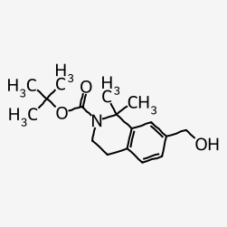 CC(C)(C)OC(=O)N1CCc2ccc(CO)cc2C1(C)C